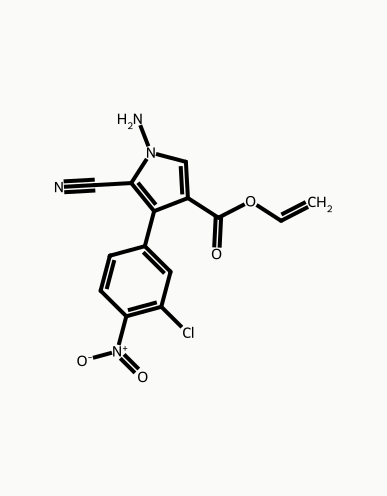 C=COC(=O)c1cn(N)c(C#N)c1-c1ccc([N+](=O)[O-])c(Cl)c1